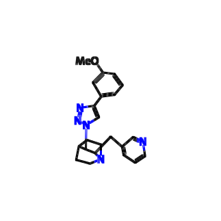 COc1cccc(-c2cn(C3C4CCN(CC4)C3Cc3cccnc3)nn2)c1